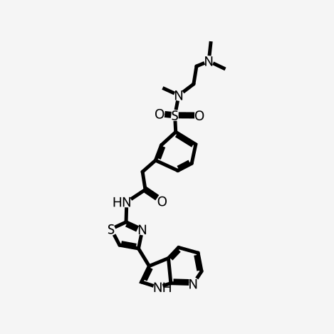 CN(C)CCN(C)S(=O)(=O)c1cccc(CC(=O)Nc2nc(-c3c[nH]c4ncccc34)cs2)c1